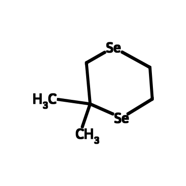 CC1(C)C[Se]CC[Se]1